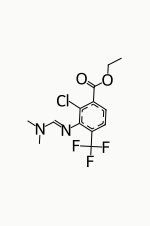 CCOC(=O)c1ccc(C(F)(F)F)c(N=CN(C)C)c1Cl